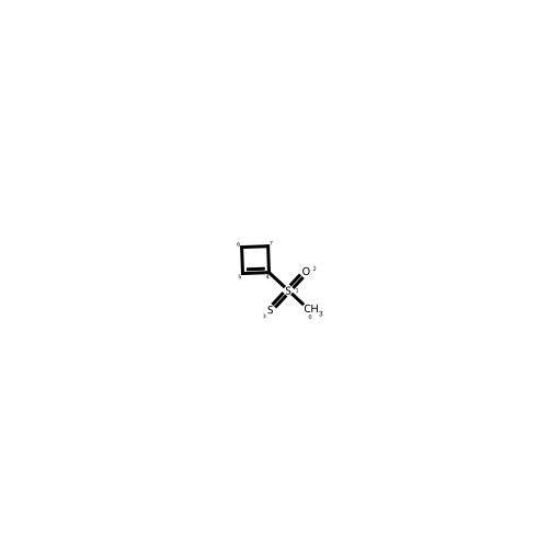 CS(=O)(=S)C1=CCC1